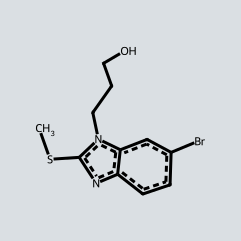 CSc1nc2ccc(Br)cc2n1CCCO